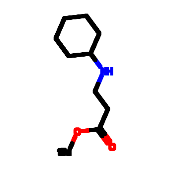 CC(C)(C)OC(=O)CCNC1CCCCC1